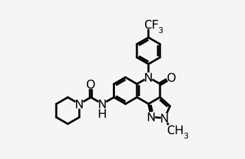 Cn1cc2c(=O)n(-c3ccc(C(F)(F)F)cc3)c3ccc(NC(=O)N4CCCCC4)cc3c2n1